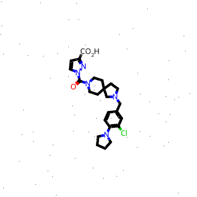 O=C(O)c1ccn(C(=O)N2CCC3(CCN(Cc4ccc(N5CCCC5)c(Cl)c4)C3)CC2)n1